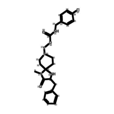 CN1C(=O)C(Cc2ccccc2)NC12CCN(SOC(=O)NCc1ccc(Cl)cc1)CC2